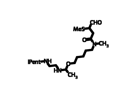 CCCC(C)NCCNC(C)OCCCCCN(C)C(=O)CC(C=O)SC